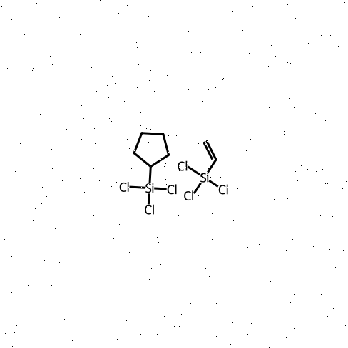 C=C[Si](Cl)(Cl)Cl.Cl[Si](Cl)(Cl)C1CCCC1